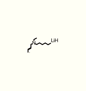 [CH2]C=CCN(CC)CCCCCC.[LiH]